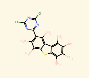 Bc1c(B)c(B)c2c(sc3c(B)c(B)c(-c4nc(Cl)nc(Cl)n4)c(B)c32)c1B